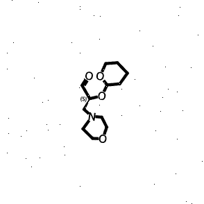 O=C[C@H](CN1CCOCC1)OC1CCCCO1